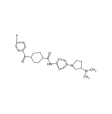 CN(C)C1CCN(c2ccc(NC(=O)C3CCC(C(=O)c4ccc(F)cc4)CC3)cc2)C1